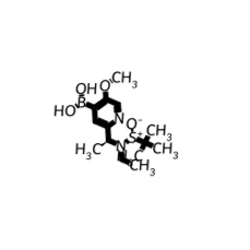 CCN([C@H](C)c1cc(B(O)O)c(OC)cn1)[S@+]([O-])C(C)(C)C